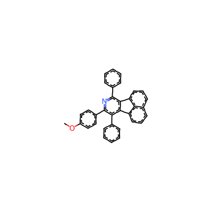 COc1ccc(-c2nc(-c3ccccc3)c3c(c2-c2ccccc2)-c2cccc4cccc-3c24)cc1